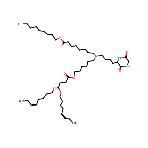 CC/C=C\CCCCOC(CCC(=O)OCCCCCCN(CCCCCCCC(=O)OCCCCCCCCC)CCCCC1NC(=O)CNC1=O)OCCCC/C=C\CC